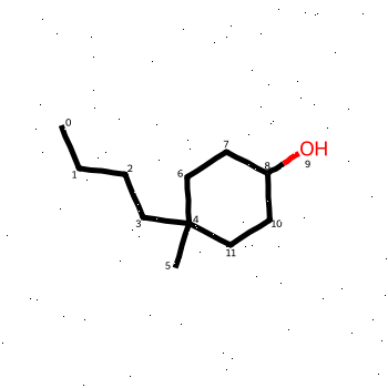 CCCCC1(C)CCC(O)CC1